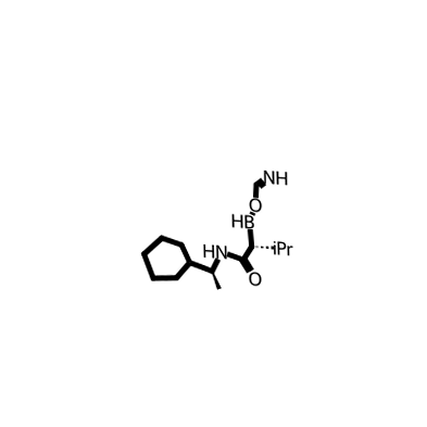 CC(C)[C@@H](BOC=N)C(=O)N[C@@H](C)C1CCCCC1